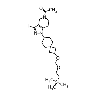 CC(=O)N1CCc2c(c(I)nn2C2CCC3(CC2)CC(OCOCC[Si](C)(C)C)C3)C1